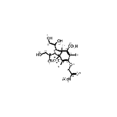 CNC(=O)COC1=C(I)C(CC(O)CO)(C(=O)O)C(I)(CC(O)CO)C(C(=O)O)=C1I